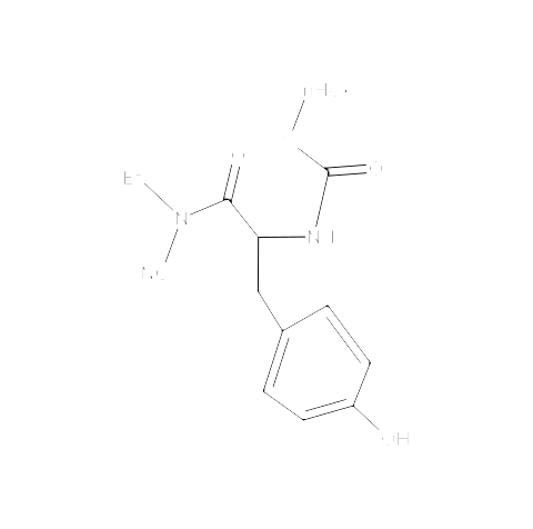 CCCCCCOC(=O)NC(Cc1ccc(O)cc1)C(=O)N(C#N)CC